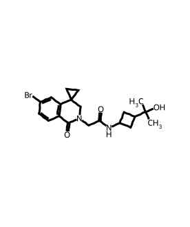 CC(C)(O)C1CC(NC(=O)CN2CC3(CC3)c3cc(Br)ccc3C2=O)C1